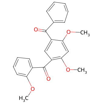 COc1cc(OC)c(C(=O)c2ccccc2OC)cc1C(=O)c1ccccc1